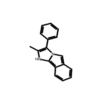 Cc1[nH]c2c3ccccc3cn2c1-c1ccccc1